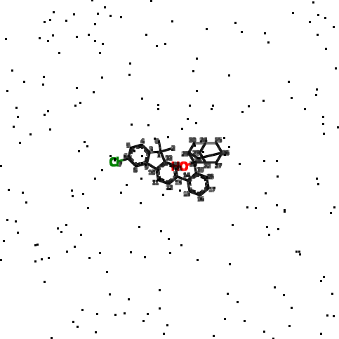 CC1(C)c2ccc(Cl)cc2-c2ccc(-c3ccccc3C3(O)C4CC5CC(C4)CC3C5)cc21